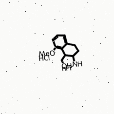 CCCNC1CCc2cccc(OC)c2C1CO.Cl